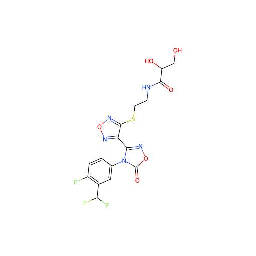 O=C(NCCSc1nonc1-c1noc(=O)n1-c1ccc(F)c(C(F)F)c1)C(O)CO